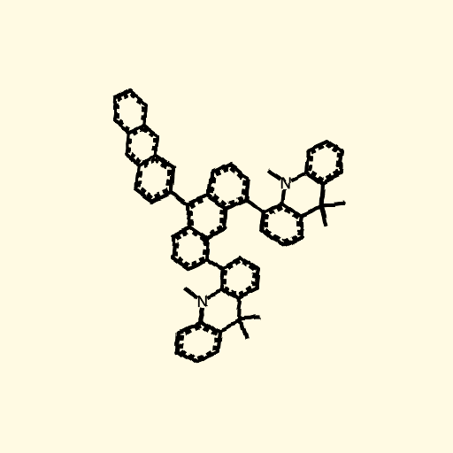 CN1c2ccccc2C(C)(C)c2cccc(-c3cccc4c(-c5ccc6cc7ccccc7cc6c5)c5cccc(-c6cccc7c6N(C)c6ccccc6C7(C)C)c5cc34)c21